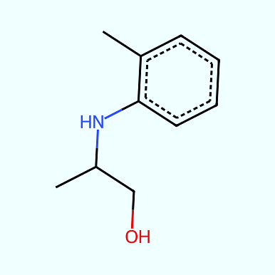 Cc1ccccc1NC(C)CO